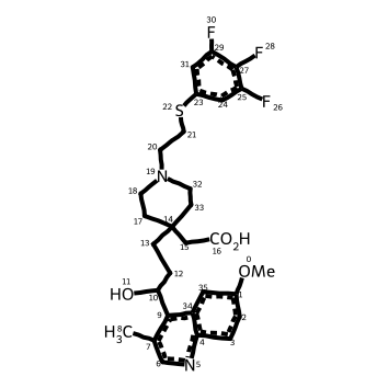 COc1ccc2ncc(C)c(C(O)CCC3(CC(=O)O)CCN(CCSc4cc(F)c(F)c(F)c4)CC3)c2c1